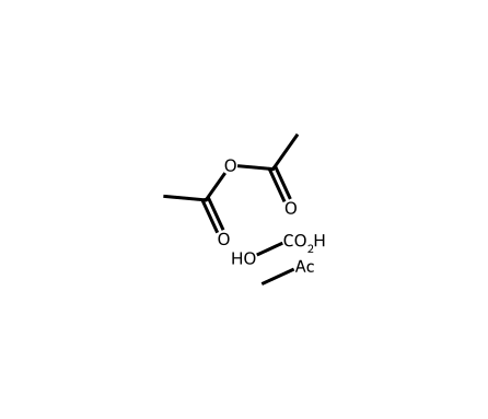 CC(=O)OC(C)=O.CC(C)=O.O=C(O)O